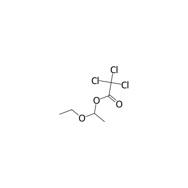 CCOC(C)OC(=O)C(Cl)(Cl)Cl